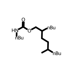 CCCCNC(=O)OCC(CCCC)CCC(C)CCCC